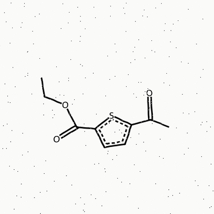 CCOC(=O)c1ccc(C(C)=O)s1